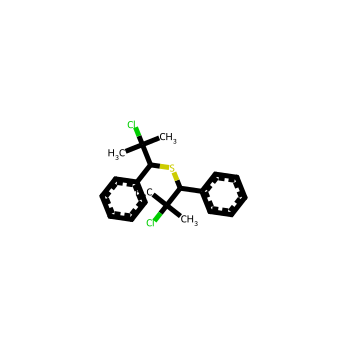 CC(C)(Cl)C(SC(c1ccccc1)C(C)(C)Cl)c1ccccc1